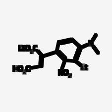 CCOC(=O)C(=CC(=O)O)c1ccc(N(C)C)c(CC)c1[N+](=O)[O-]